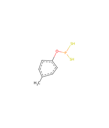 Cc1ccc(OP(S)S)cc1